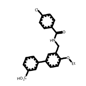 CCOc1ccc(-c2cccc(C(=O)O)c2)cc1CNC(=O)c1ccc(Cl)cc1